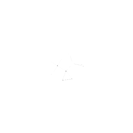 CC(C)(O)C1([S+](N)[O-])CC1